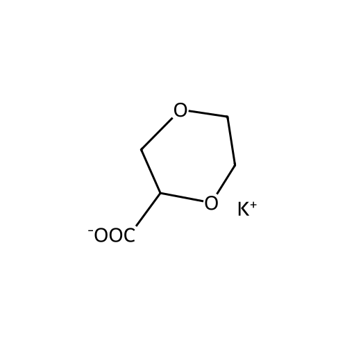 O=C([O-])C1COCCO1.[K+]